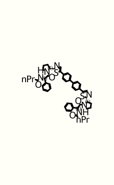 CCCC(=O)N[C@H](C(=O)N1CCC[C@H]1c1ncc(-c2ccc(-c3ccc(-c4cnc([C@@H]5CCCN5C(=O)[C@H](NC(=O)CCC)c5ccccc5)s4)cc3)cc2)s1)c1ccccc1